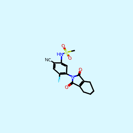 CS(=O)(=O)Nc1cc(N2C(=O)C3=C(CCCC3)C2=O)c(F)cc1C#N